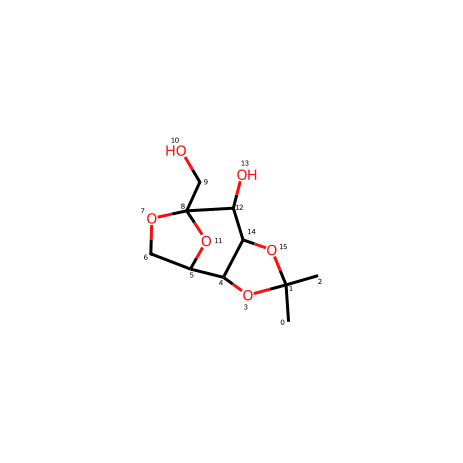 CC1(C)OC2C3COC(CO)(O3)C(O)C2O1